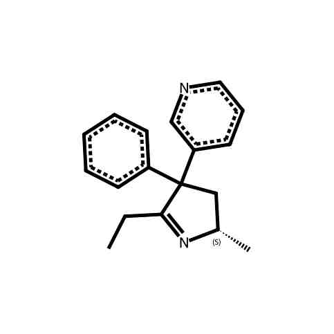 CCC1=N[C@@H](C)CC1(c1ccccc1)c1cccnc1